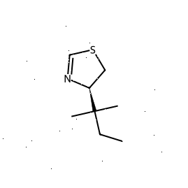 CCC(C)(C)[C@@H]1CSC=N1